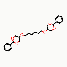 c1ccc(C2OCC(OCCCCCCOC3COC(c4ccccc4)OC3)CO2)cc1